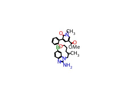 COC(=O)c1cc(-c2ccccc2OCCC[C@@H](C)Cn2c(N)nc3ccc(Br)cc32)c(=O)n(C)c1